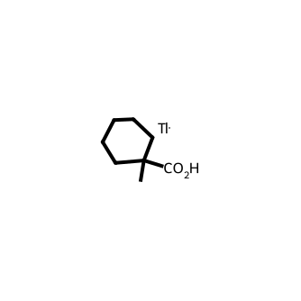 CC1(C(=O)O)CCCCC1.[Tl]